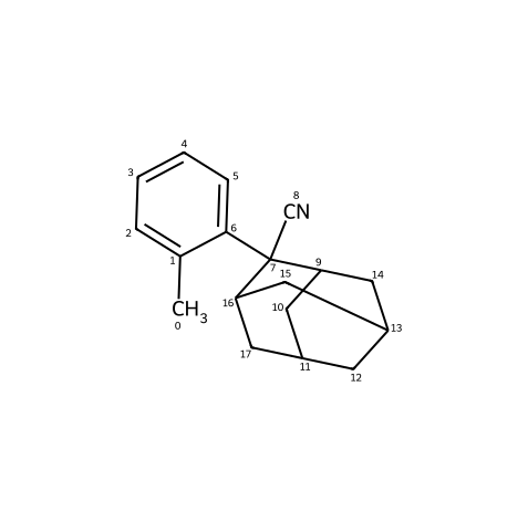 Cc1ccccc1C1(C#N)C2CC3CC(C2)CC1C3